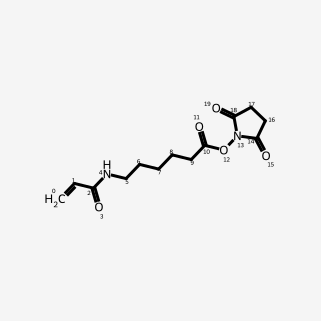 C=CC(=O)NCCCCCC(=O)ON1C(=O)CCC1=O